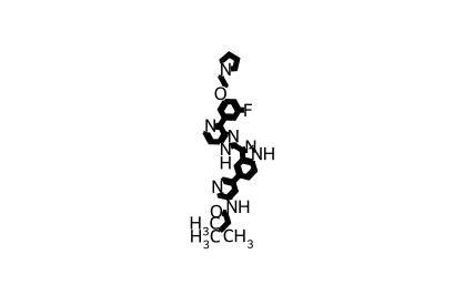 CC(C)(C)CC(=O)Nc1cncc(-c2ccc3[nH]nc(-c4nc5c(-c6cc(F)cc(OCCN7CCCC7)c6)nccc5[nH]4)c3c2)c1